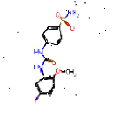 COc1ccc(I)cc1NC(=S)Nc1ccc(S(N)(=O)=O)cc1